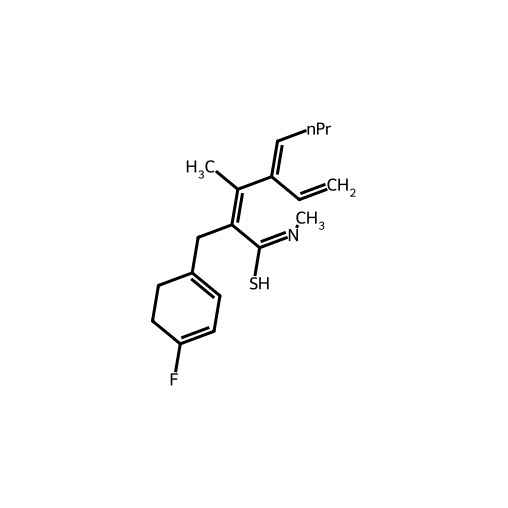 C=CC(=C\CCC)/C(C)=C(CC1=CC=C(F)CC1)\C(S)=N/C